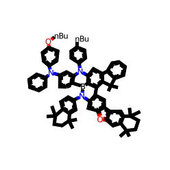 CCCCOc1ccc(N(c2ccccc2)c2ccc3c(c2)N(c2ccc(CCCC)cc2)c2cc4c(c5c2B3N(c2ccc3c(c2)C(C)(C)CCC3(C)C)c2cc3oc6cc7c(cc6c3cc2-5)C(C)(C)CCC7(C)C)C(C)(C)c2ccccc2-4)cc1